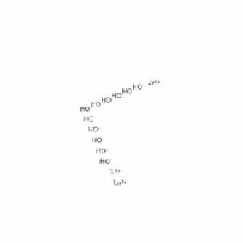 [La+3].[OH-].[OH-].[OH-].[OH-].[OH-].[OH-].[OH-].[OH-].[OH-].[OH-].[OH-].[Ti+4].[Zr+4]